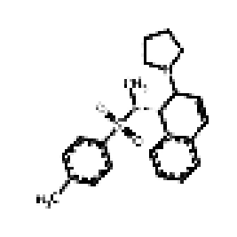 Cc1ccc(S(=O)(=O)N(C)[C@H]2c3ccccc3C=CC2N2CCCC2)cc1